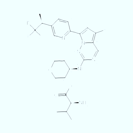 CC(C)[C@H](N)C(=O)O[C@@H]1COCC[C@H]1Nc1ncc2c(F)cc(-c3ccc([C@H](C)C(F)(F)F)cn3)n2n1